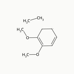 CC.COC1=C(OC)C[CH]C=C1